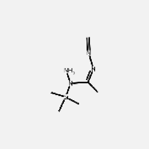 C=N/N=C(/C)N(N)[Si](C)(C)C